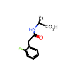 CCC(NC(=O)Cc1ccccc1F)C(=O)O